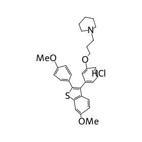 COc1ccc(-c2sc3cc(OC)ccc3c2-c2cccc(OCCCN3CCCCC3)c2)cc1.Cl